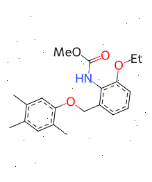 CCOc1cccc(COc2cc(C)c(C)cc2C)c1NC(=O)OC